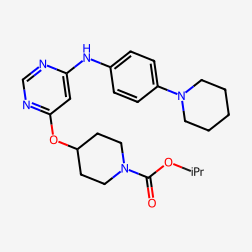 CC(C)OC(=O)N1CCC(Oc2cc(Nc3ccc(N4CCCCC4)cc3)ncn2)CC1